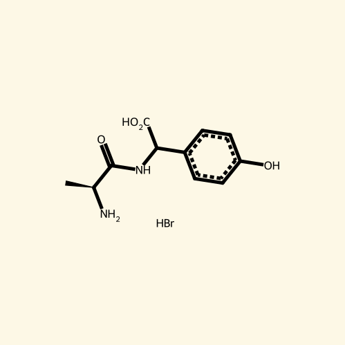 Br.C[C@H](N)C(=O)NC(C(=O)O)c1ccc(O)cc1